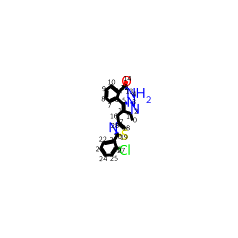 Cc1nn(C)c(-c2ccccc2C(N)=O)c1Cc1csc(-c2ccccc2Cl)n1